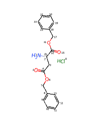 Cl.N[C@@H](CC(=O)OCc1ccccc1)C(=O)OCc1ccccc1